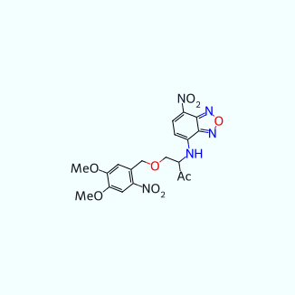 COc1cc(COCC(Nc2ccc([N+](=O)[O-])c3nonc23)C(C)=O)c([N+](=O)[O-])cc1OC